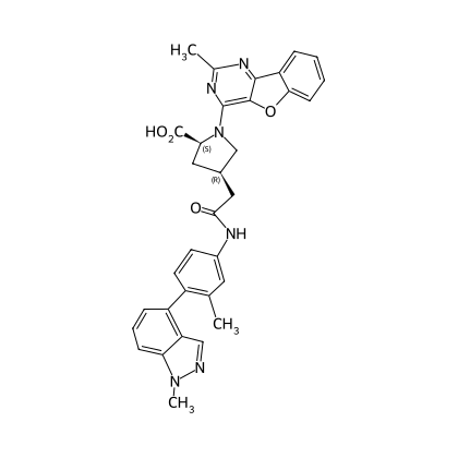 Cc1nc(N2C[C@@H](CC(=O)Nc3ccc(-c4cccc5c4cnn5C)c(C)c3)C[C@H]2C(=O)O)c2oc3ccccc3c2n1